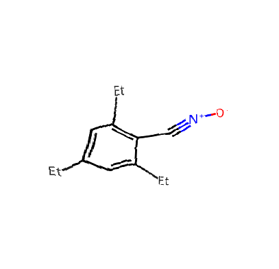 CCc1cc(CC)c(C#[N+][O-])c(CC)c1